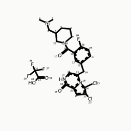 CN(C)CC1CCCN(C(=O)c2cc(Cc3c[nH]c(=O)c4cc(Cl)c(Cl)n34)ccc2F)C1.O=C(O)C(F)(F)F